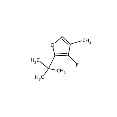 Cc1coc(C(C)(C)C)c1F